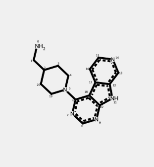 NCC1CCN(c2ncnc3[nH]c4cnccc4c23)CC1